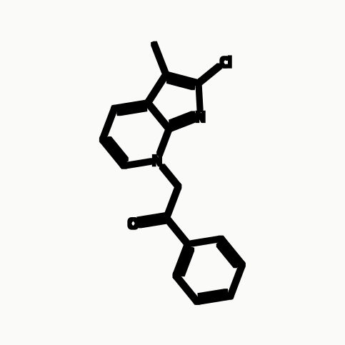 Cc1c2cccn(CC(=O)c3ccccc3)c-2nc1Cl